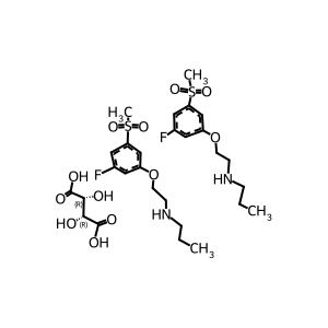 CCCNCCOc1cc(F)cc(S(C)(=O)=O)c1.CCCNCCOc1cc(F)cc(S(C)(=O)=O)c1.O=C(O)[C@H](O)[C@@H](O)C(=O)O